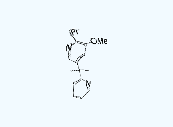 COc1cc(C(C)(C)c2ccccn2)cnc1C(C)C